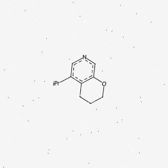 CC(C)c1cncc2c1CCCO2